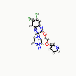 Fc1cc2nc(OCCOc3cccnc3)c(N3CCNCC3)nc2cc1F